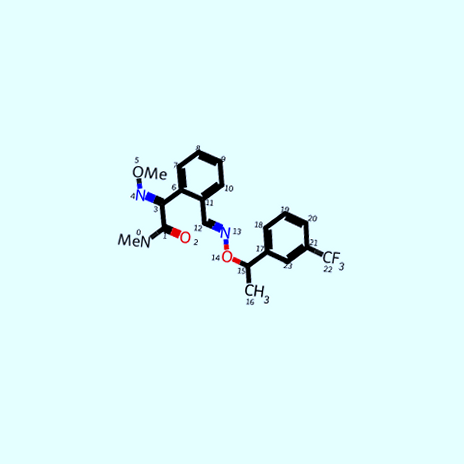 CNC(=O)/C(=N/OC)c1ccccc1/C=N/OC(C)c1cccc(C(F)(F)F)c1